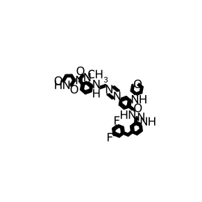 Cn1c(=O)n(C2CCC(=O)NC2=O)c2cccc(NCCN3CCN(c4ccc(C(=O)Nc5n[nH]c6ccc(Cc7cc(F)cc(F)c7)cc56)c(NC5CCOCC5)c4)CC3)c21